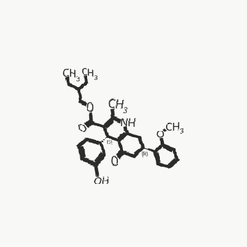 CCC(CC)COC(=O)C1=C(C)NC2=C(C(=O)C[C@H](c3ccccc3OC)C2)[C@@H]1c1cccc(O)c1